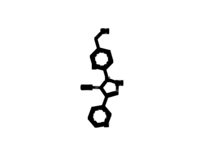 O=CC1C(c2cccnc2)=CNN1c1ccc(CO)cn1